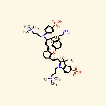 CC1(C)C(/C=C/C2=C(Oc3ccc(CCN)cc3)C(=C/C=C3/N(CCC[N+](C)(C)C)c4ccc(S(=O)(=O)O)cc4C3(C)C)/CCC2)=[N+](CCC[N+](C)(C)C)c2ccc(S(=O)(=O)O)cc21